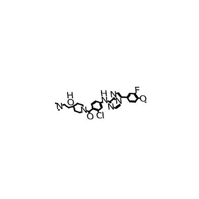 COc1ccc(-c2cnc3c(Nc4ccc(C(=O)N5CCC(O)(CCN(C)C)CC5)c(Cl)c4)nccn23)cc1F